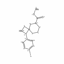 CC(C)(C)OC(=O)N1CCCC2(CNC2c2ncc(I)cn2)C1